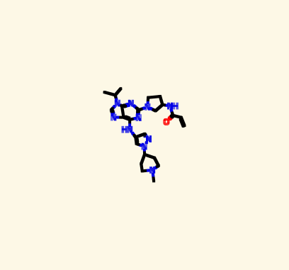 C=CC(=O)NC1CCN(c2nc(Nc3cnn(C4CCN(C)CC4)c3)c3ncn(C(C)C)c3n2)C1